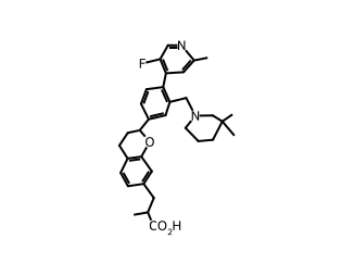 Cc1cc(-c2ccc(C3CCc4ccc(CC(C)C(=O)O)cc4O3)cc2CN2CCCC(C)(C)C2)c(F)cn1